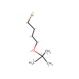 CC(C)(C)OCCCCBr